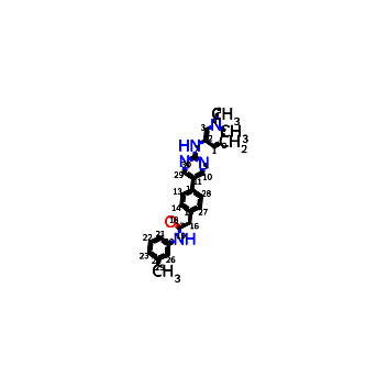 C=C/C(=C\N(C)C)Nc1ncc(-c2ccc(CC(=O)Nc3cccc(C)c3)cc2)cn1